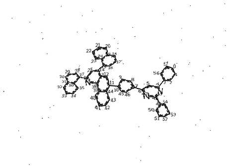 c1ccc(-c2cc(-c3ccc(-c4cc5c(-c6cccc7ccccc67)cc(-c6cccc7ccccc67)nc5c5ccccc45)cc3)nc(-c3ccccc3)n2)cc1